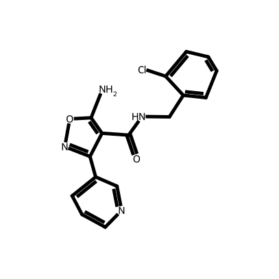 Nc1onc(-c2cccnc2)c1C(=O)NCc1ccccc1Cl